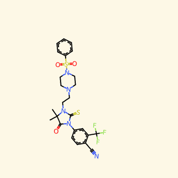 CC1(C)C(=O)N(c2ccc(C#N)c(C(F)(F)F)c2)C(=S)N1CCN1CCN(S(=O)(=O)c2ccccc2)CC1